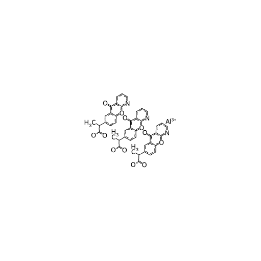 CC(C(=O)[O-])c1ccc2oc3ncccc3c(=O)c2c1.CC(C(=O)[O-])c1ccc2oc3ncccc3c(=O)c2c1.CC(C(=O)[O-])c1ccc2oc3ncccc3c(=O)c2c1.[Al+3]